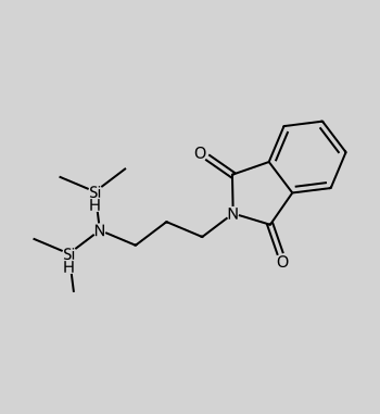 C[SiH](C)N(CCCN1C(=O)c2ccccc2C1=O)[SiH](C)C